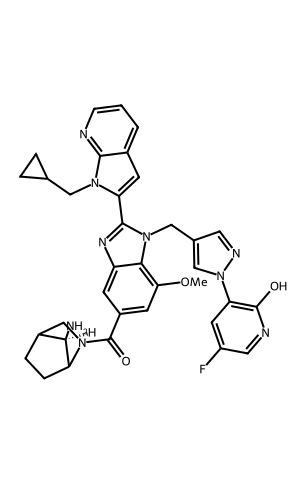 COc1cc(C(=O)N2CC3CCC2[C@@H]3N)cc2nc(-c3cc4cccnc4n3CC3CC3)n(Cc3cnn(-c4cc(F)cnc4O)c3)c12